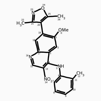 COc1cc2c(Nc3ccccc3C)c([N+](=O)[O-])cnc2cc1-c1c(C)noc1C